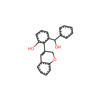 Oc1cccc(C(O)c2ccccc2)c1C1=Cc2ccccc2OC1